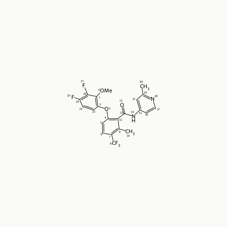 COc1c(Oc2ccc(C(F)(F)F)c(C)c2C(=O)Nc2ccnc(C)c2)ccc(F)c1F